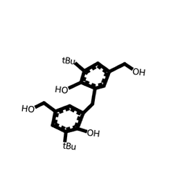 CC(C)(C)c1cc(CO)cc(Cc2cc(CO)cc(C(C)(C)C)c2O)c1O